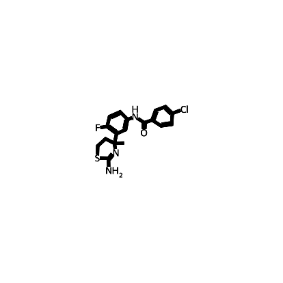 CC1(c2cc(NC(=O)c3ccc(Cl)cc3)ccc2F)CCSC(N)=N1